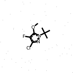 COc1c(F)c(Cl)nn1C(C)(C)C